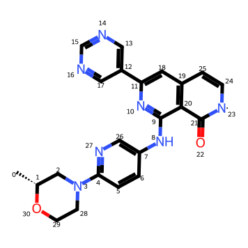 C[C@@H]1CN(c2ccc(Nc3nc(-c4cncnc4)cc4c3C(=O)[N]C=C4)cn2)CCO1